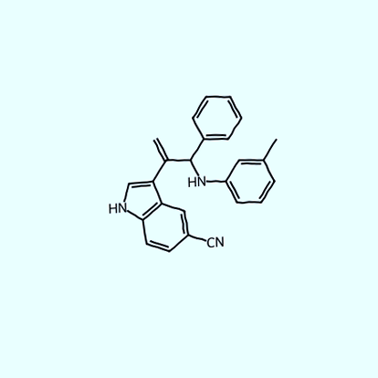 C=C(c1c[nH]c2ccc(C#N)cc12)C(Nc1cccc(C)c1)c1ccccc1